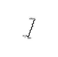 CCCCCCCCCCCCCCCCCCCCC(N)CCC